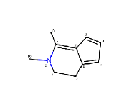 CC1=C2C=CC=C2CCN1C